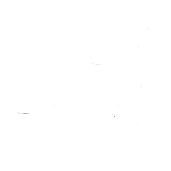 N#Cc1ccc(COc2ccc(-n3cc(C(=O)C(=O)O)c4cc(F)ccc43)cc2)cc1.O=C(O)C(=O)c1cn(-c2ccc(OCc3cccc(Cl)c3)cc2)c2ccccc12